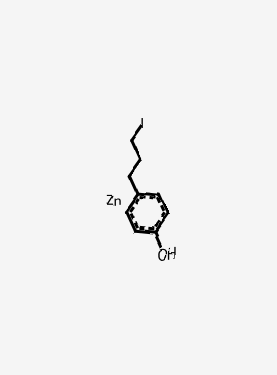 Oc1ccc(CCCI)cc1.[Zn]